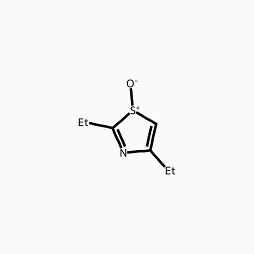 CCc1c[s+]([O-])c(CC)n1